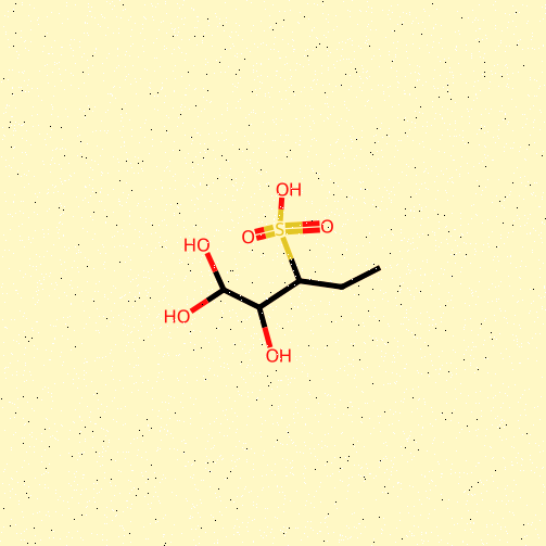 CCC(C(O)C(O)O)S(=O)(=O)O